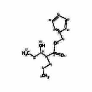 CCCC(C(=O)OCc1ccccc1)C(O)CC